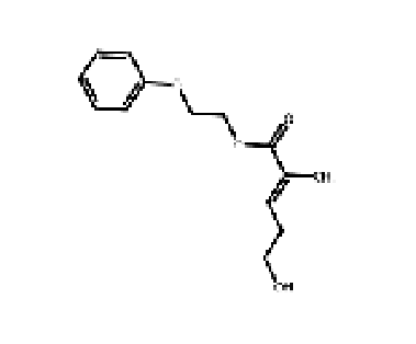 CC(=CCCO)C(=O)OCCOc1ccccc1